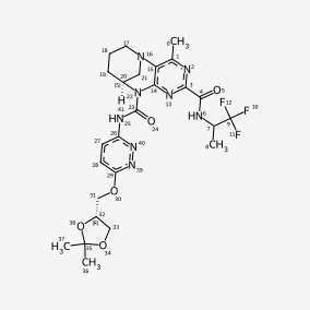 Cc1nc(C(=O)NC(C)C(F)(F)F)nc2c1N1CCC[C@@H](C1)N2C(=O)Nc1ccc(OC[C@@H]2COC(C)(C)O2)nn1